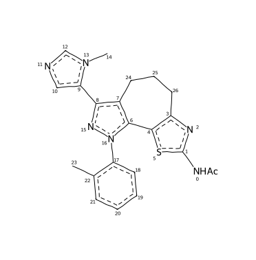 CC(=O)Nc1nc2c(s1)-c1c(c(-c3cncn3C)nn1-c1ccccc1C)CCC2